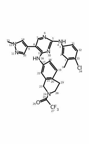 Cc1cc(Nc2ncc(-c3cnn(C)c3)c(Nc3ccc4c(c3)CN(C(=O)C(F)(F)F)CC4)n2)ccc1Cl